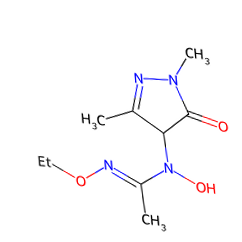 CCON=C(C)N(O)C1C(=O)N(C)N=C1C